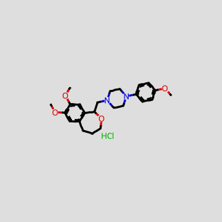 COc1ccc(N2CCN(CC3OCCCc4cc(OC)c(OC)cc43)CC2)cc1.Cl